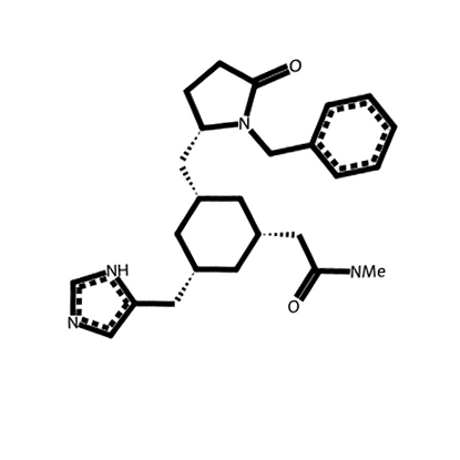 CNC(=O)C[C@@H]1C[C@H](Cc2cnc[nH]2)C[C@H](C[C@@H]2CCC(=O)N2Cc2ccccc2)C1